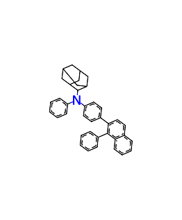 c1ccc(-c2c(-c3ccc(N(c4ccccc4)C4C5CC6CC(C5)CC4C6)cc3)ccc3ccccc23)cc1